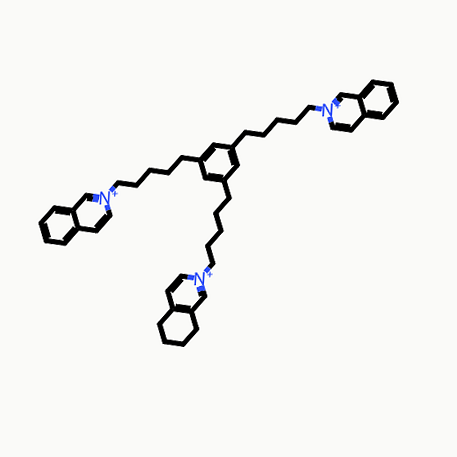 c1ccc2c[n+](CCCCCc3cc(CCCCC[n+]4ccc5c(c4)CCCC5)cc(CCCCC[n+]4ccc5ccccc5c4)c3)ccc2c1